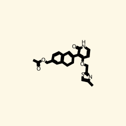 CC(=O)OCc1ccc2c(c1)CCC(c1c(OCc3nc(C)cs3)cc[nH]c1=O)=C2